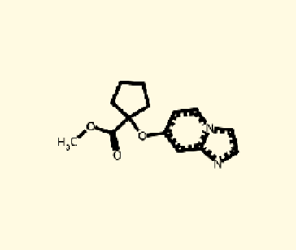 COC(=O)C1(Oc2ccn3ccnc3c2)CCCC1